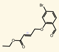 CCOC(=O)/C=C/COc1cc(Br)ccc1C=O